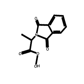 CC(C(=O)OO)N1C(=O)c2ccccc2C1=O